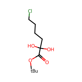 CC(C)(C)OC(=O)C(O)(O)CCCCCl